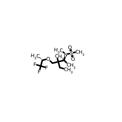 CCC(C)(CO[C@@H](C)C(F)(F)F)C(C)N(C)S(C)(=O)=O